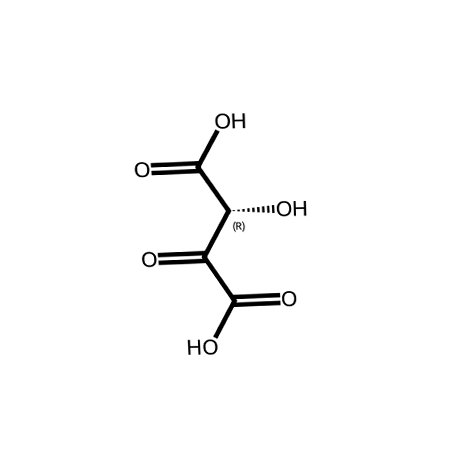 O=C(O)C(=O)[C@@H](O)C(=O)O